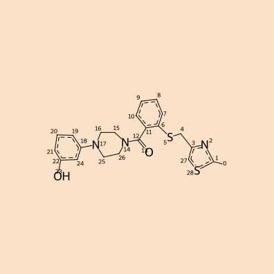 Cc1nc(CSc2ccccc2C(=O)N2CCN(c3cccc(O)c3)CC2)cs1